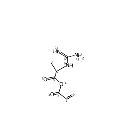 C=CC(=O)OC(=O)C(C)NC(=N)N